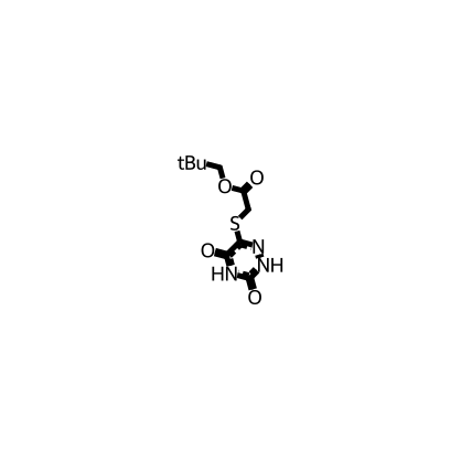 CC(C)(C)COC(=O)CSc1n[nH]c(=O)[nH]c1=O